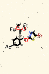 C=C.CC(=O)c1ccc(COc2ncc(Br)s2)cc1.CCOC(C)OCC